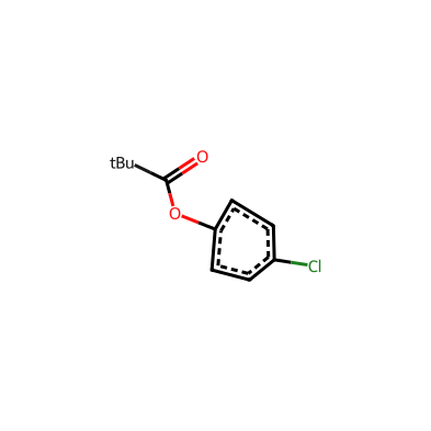 CC(C)(C)C(=O)Oc1ccc(Cl)cc1